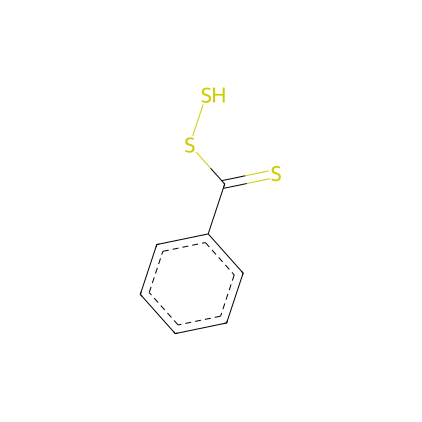 S=C(SS)c1ccccc1